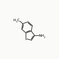 Cc1ccc2c(N)csc2c1